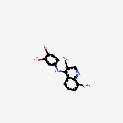 COc1cccc2c(Nc3ccc(Br)c(O)c3)c(C#N)cnc12